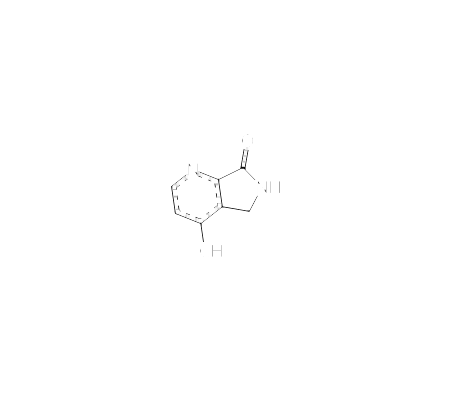 Cc1ccnc2c1CNC2=O